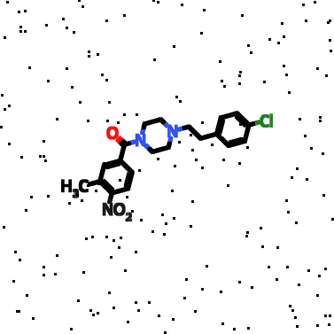 Cc1cc(C(=O)N2CCN(CCc3ccc(Cl)cc3)CC2)ccc1[N+](=O)[O-]